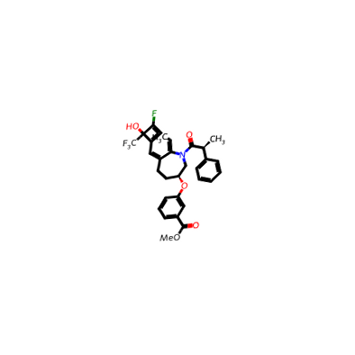 C/C=C1\C(=C/C2=C=C(F)C2(O)C(F)(F)F)CC[C@H](Oc2cccc(C(=O)OC)c2)CN1C(=O)[C@@H](C)c1ccccc1